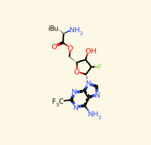 CC[C@@H](C)[C@@H](N)C(=O)OC[C@H]1O[C@@H](n2cnc3c(N)nc(C(F)(F)F)nc32)C(F)C1O